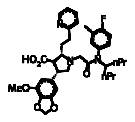 CCCC(CCC)N(C(=O)CN1C[C@H](c2cc(OC)c3c(c2)OCO3)[C@@H](C(=O)O)[C@@H]1CCc1ccccn1)c1ccc(F)c(C)c1